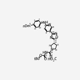 CCCCCCCCCCc1ccc(Nc2ccc(-c3noc([C@@H]4CCN(/C(=N/C(=O)O)NC(=O)OC(C)(C)C)C4)n3)cn2)cc1